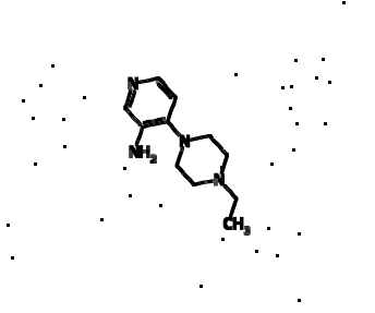 CCN1CCN(c2ccncc2N)CC1